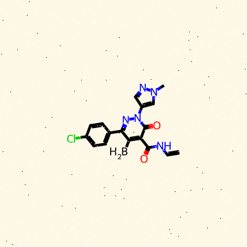 Bc1c(-c2ccc(Cl)cc2)nn(-c2cnn(C)c2)c(=O)c1C(=O)NC=C